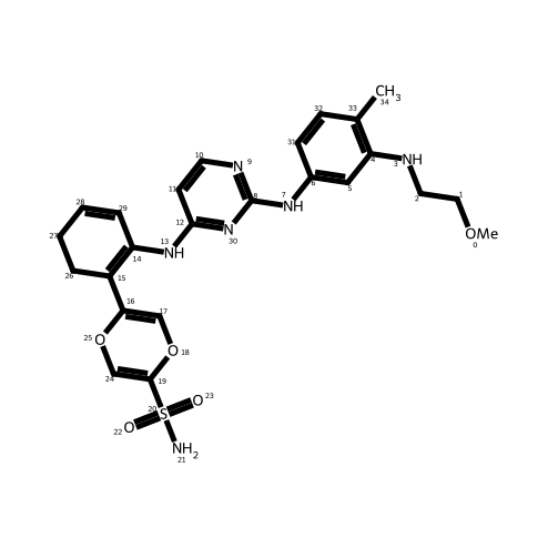 COCCNc1cc(Nc2nccc(NC3=C(C4=COC(S(N)(=O)=O)=CO4)CCC=C3)n2)ccc1C